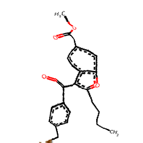 CCCCc1oc2ccc(C(=O)OC)cc2c1C(=O)c1ccc(CBr)cc1